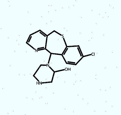 OC1CNCCN1C1c2ccc(Cl)cc2SCc2cccnc21